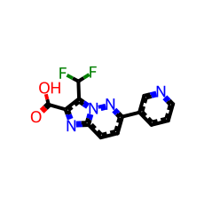 O=C(O)c1nc2ccc(-c3cccnc3)nn2c1C(F)F